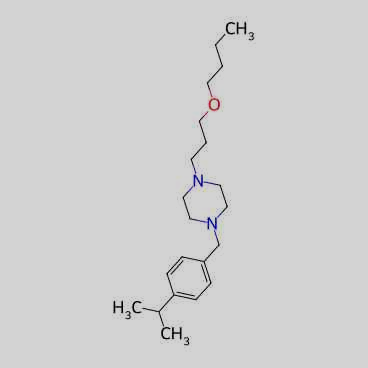 CCCCOCCCN1CCN(Cc2ccc(C(C)C)cc2)CC1